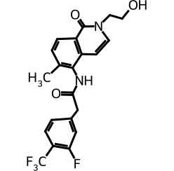 Cc1ccc2c(=O)n(CCO)ccc2c1NC(=O)Cc1ccc(C(F)(F)F)c(F)c1